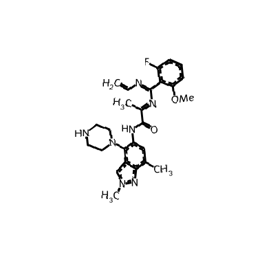 C=C/N=C(\N=C(/C)C(=O)Nc1cc(C)c2nn(C)cc2c1N1CCNCC1)c1c(F)cccc1OC